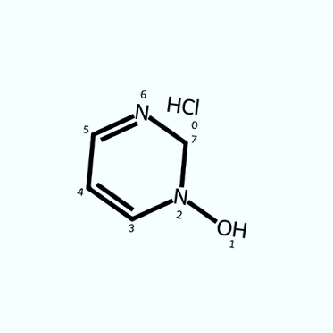 Cl.ON1C=CC=NC1